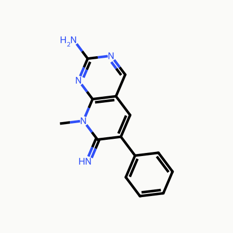 Cn1c(=N)c(-c2ccccc2)cc2cnc(N)nc21